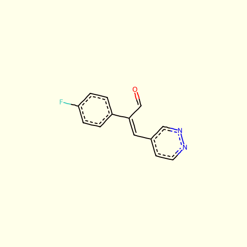 O=CC(=Cc1ccnnc1)c1ccc(F)cc1